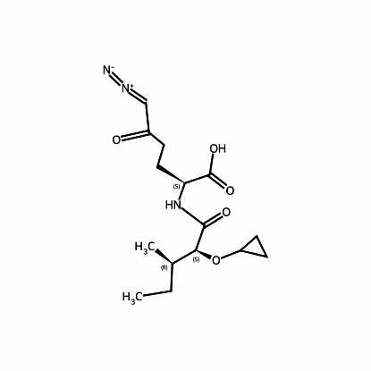 CC[C@@H](C)[C@H](OC1CC1)C(=O)N[C@@H](CCC(=O)C=[N+]=[N-])C(=O)O